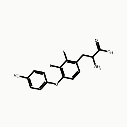 NC(Cc1ccc(Oc2ccc(O)cc2)c(I)c1I)C(=O)O